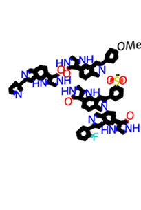 COc1ccc(-c2cc3c(ccc4c5c([nH]c43)CNC5=O)cn2)cc1.CS(=O)(=O)c1cccc(-c2cc3c(ccc4c5c([nH]c43)CNC5=O)cn2)c1.O=C1NCc2[nH]c3c(ccc4cnc(-c5ccccc5F)cc43)c21.O=C1NCc2[nH]c3c(ccc4cnc(-c5cccnc5)cc43)c21